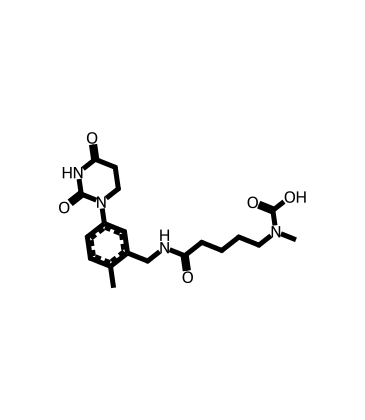 Cc1ccc(N2CCC(=O)NC2=O)cc1CNC(=O)CCCCN(C)C(=O)O